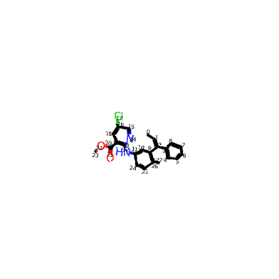 C/C=C(/c1ccccc1)c1cc(Nc2ncc(Cl)cc2C(=O)OC)ccc1C